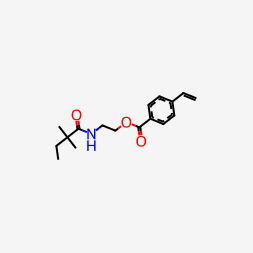 C=Cc1ccc(C(=O)OCCNC(=O)C(C)(C)CC)cc1